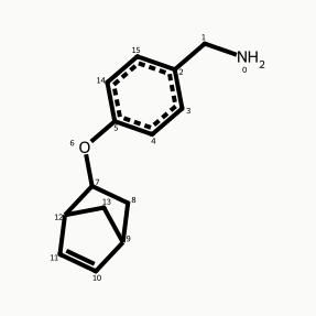 NCc1ccc(OC2CC3C=CC2C3)cc1